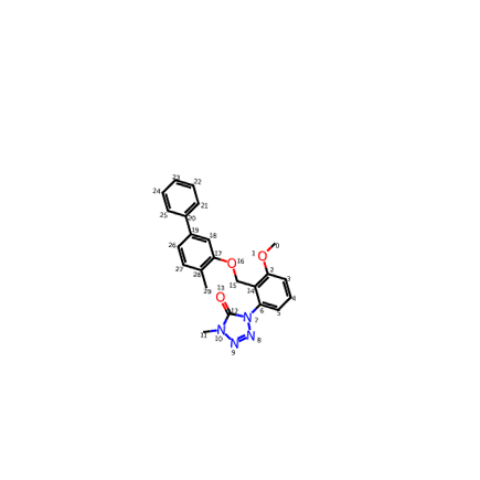 COc1cccc(-n2nnn(C)c2=O)c1COc1cc(-c2ccccc2)ccc1C